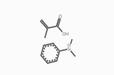 C=C(C)C(=O)O.C[SiH](C)c1ccccc1